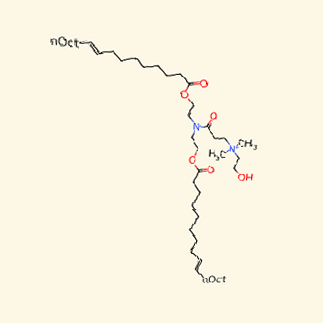 CCCCCCCCC=CCCCCCCCC(=O)OCCN(CCOC(=O)CCCCCCCC=CCCCCCCCC)C(=O)CC[N+](C)(C)CCO